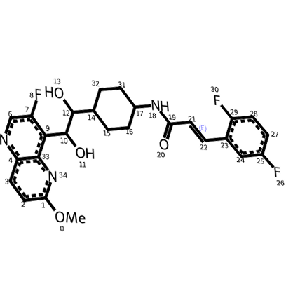 COc1ccc2ncc(F)c(C(O)C(O)C3CCC(NC(=O)/C=C/c4cc(F)ccc4F)CC3)c2n1